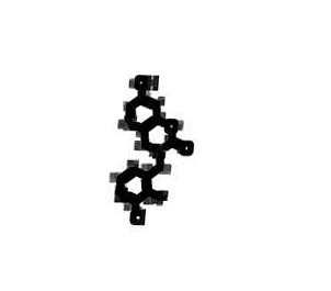 O=C1Oc2cc(O)cnc2CN1Cc1ccnc(Cl)c1F